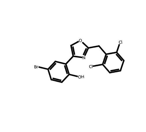 Oc1ccc(Br)cc1-c1coc(Cc2c(Cl)cccc2Cl)n1